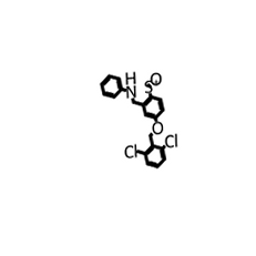 O=[S+]c1ccc(OCc2c(Cl)cccc2Cl)cc1CNc1ccccc1